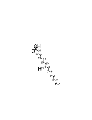 CCCCCCCCCCCCCCCCCC(=O)O.I